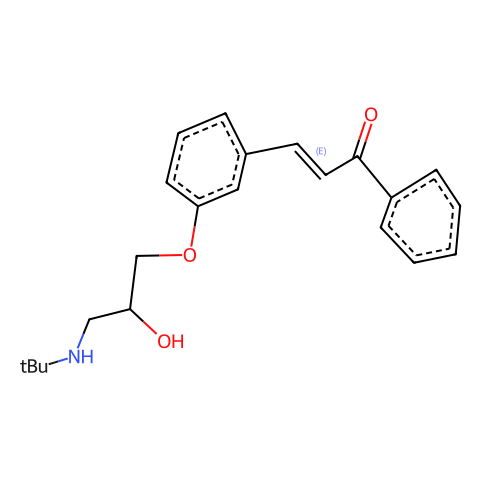 CC(C)(C)NCC(O)COc1cccc(/C=C/C(=O)c2ccccc2)c1